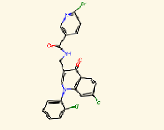 O=C(NCc1cn(-c2ccccc2Cl)c2cc(Cl)ccc2c1=O)c1ccc(Br)nc1